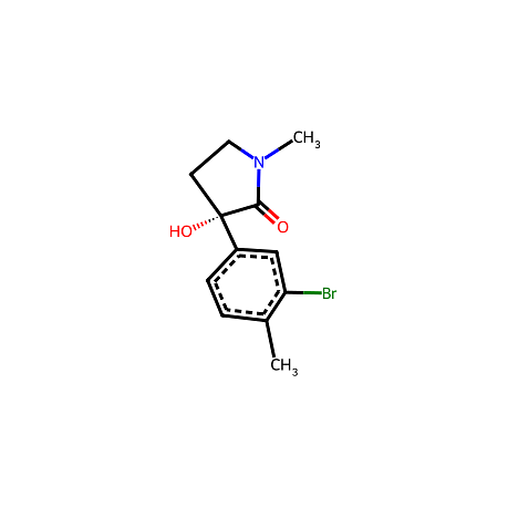 Cc1ccc([C@@]2(O)CCN(C)C2=O)cc1Br